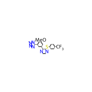 COc1ccc(-c2nccnc2Sc2ccc(C(F)(F)F)cc2)cc1-c1nnn(C)n1